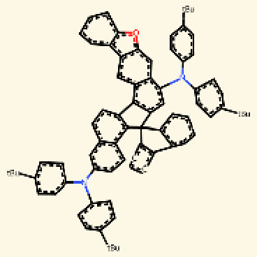 CC(C)(C)c1ccc(N(c2ccc(C(C)(C)C)cc2)c2ccc3c4c(ccc3c2)-c2c(cc(N(c3ccc(C(C)(C)C)cc3)c3ccc(C(C)(C)C)cc3)c3cc5oc6ccccc6c5cc23)C42c3ccccc3-c3ccccc32)cc1